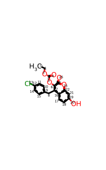 CCOC(=O)Oc1c(Cc2ccc(Cl)cc2)c2ccc(O)cc2oc1=O